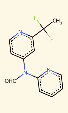 CC(F)(F)c1cc(N(C=O)c2ccccn2)ccn1